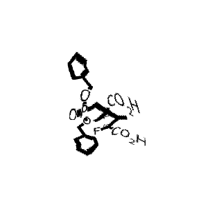 CC([C@H](F)C(=O)O)[C@](C)(CP(=O)(OCc1ccccc1)OCc1ccccc1)C(=O)O